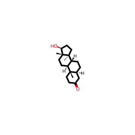 C[C@]12CCC(=O)C[C@@H]1CC[C@@H]1[C@@H]2CC[C@]2(C)[C@@H](O)CC[C@@]12C